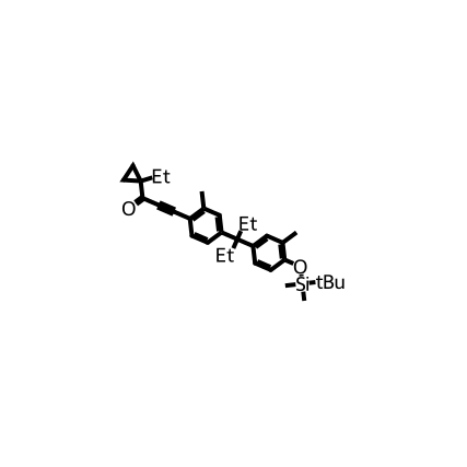 CCC1(C(=O)C#Cc2ccc(C(CC)(CC)c3ccc(O[Si](C)(C)C(C)(C)C)c(C)c3)cc2C)CC1